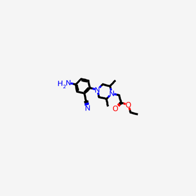 CCOC(=O)CN1C(C)CN(c2ccc(N)cc2C#N)CC1C